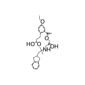 CCOc1ccc(CCC(=O)O)c([C@@H](C)OC[C@H](O)CNC(C)(C)CC2Cc3ccccc3C2)c1